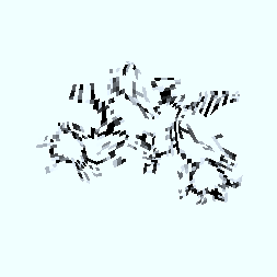 CN[C@@H](C)C(=O)N[C@H](C(=O)N1c2ncccc2C[C@@H]1OC(=O)Nc1ccncc1F)C(C)C